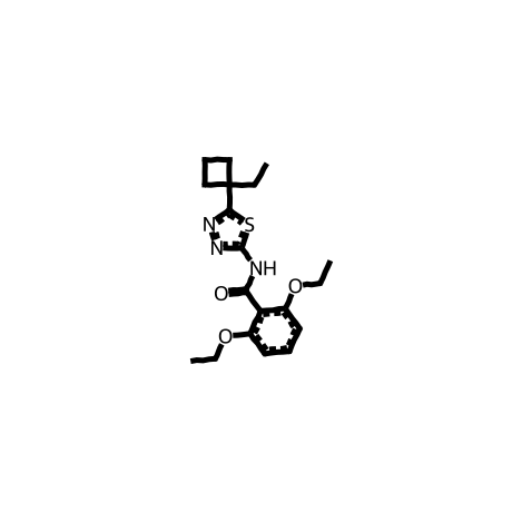 CCOc1cccc(OCC)c1C(=O)Nc1nnc(C2(CC)CCC2)s1